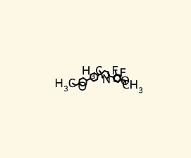 CCC1CCC(C2CCC(C3(C)C=NC(c4ccc(OC)c(F)c4F)=CC3)CC2)CO1